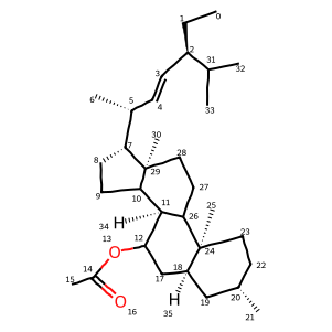 CC[C@H](/C=C/[C@@H](C)[C@H]1CCC2[C@@H]3C(OC(C)=O)C[C@@H]4C[C@@H](C)CC[C@]4(C)C3CC[C@@]21C)C(C)C